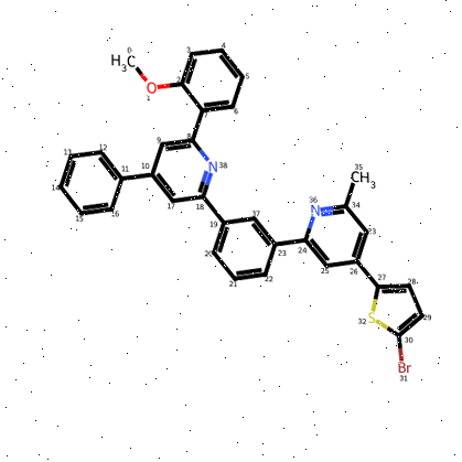 COc1ccccc1-c1cc(-c2ccccc2)cc(-c2cccc(-c3cc(-c4ccc(Br)s4)cc(C)n3)c2)n1